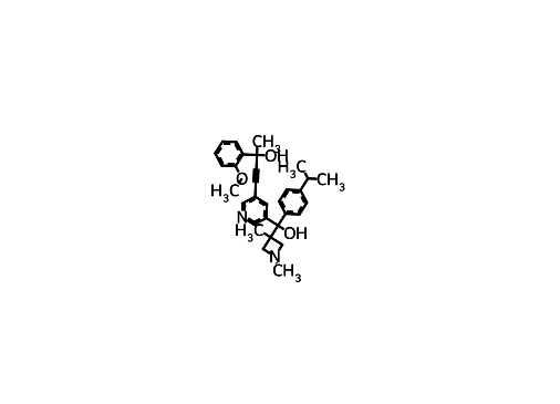 COc1ccccc1C(C)(O)C#Cc1cncc(C(O)(c2ccc(C(C)C)cc2)C2(C)CN(C)C2)c1